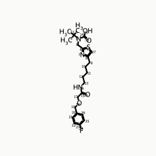 CC(C)(C)N(Cc1nc(CCCCCNC(=O)COCc2ccc(F)cc2)cs1)C(=O)O